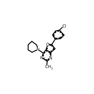 Cc1nc(N2CCCCC2)c2oc(-c3ccc(Cl)cc3)cc2n1